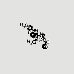 CN1CC[C@@H](Nc2cccc3c2cc(-c2noc(CNC(=O)c4ccccn4)n2)n3CC(C)(F)F)[C@@H](F)C1